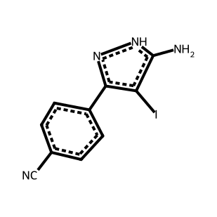 N#Cc1ccc(-c2n[nH]c(N)c2I)cc1